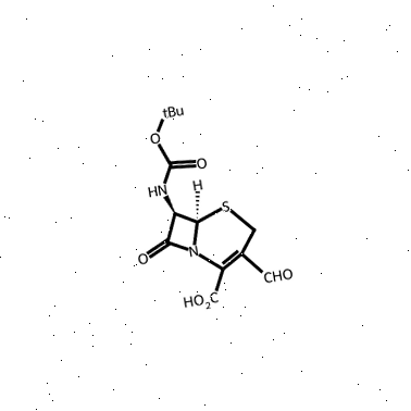 CC(C)(C)OC(=O)N[C@@H]1C(=O)N2C(C(=O)O)=C(C=O)CS[C@H]12